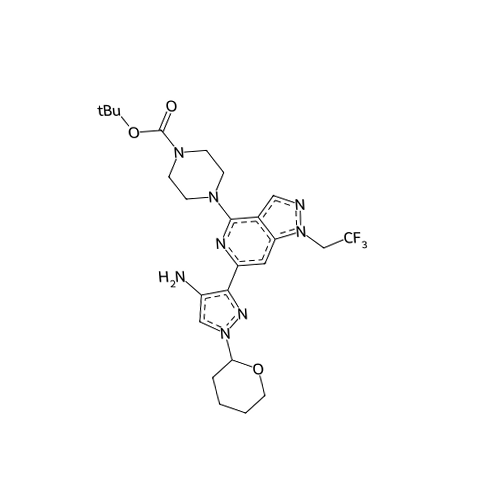 CC(C)(C)OC(=O)N1CCN(c2nc(-c3nn(C4CCCCO4)cc3N)cc3c2cnn3CC(F)(F)F)CC1